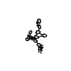 FC(F)(F)c1ccc(-c2ccc3c(c2)c2cc4c5ccccc5c5cc(-c6ccc7c(c6)sc6ccccc67)ccc5c4cc2n3-c2cc(-c3ccccc3)nc(-c3ccccc3)n2)cc1